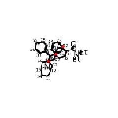 CCN(CC)C(=O)c1ccc(C(=C2CC3CCC(C2)N3CCc2ccccc2)c2ccccc2)cc1